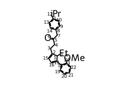 CCC1C(CCC(=O)Cc2ccc(C(C)C)cc2)=CC=C1c1ccccc1OC